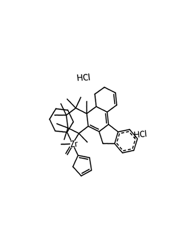 Cl.Cl.[CH2]=[Zr]([CH3])([C]1=CC=CC1)([CH]1CCCCC1)[C]1(C)C2=C3Cc4ccccc4C3=C3C=CCCC3C2(C)C(C)(C)C(C)(C)C1(C)C